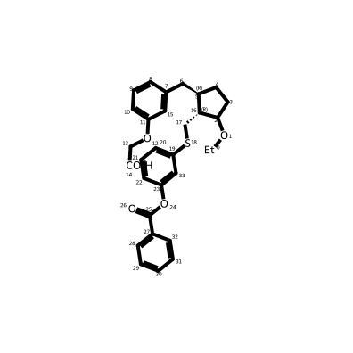 CCOC1CC[C@H](Cc2cccc(OCC(=O)O)c2)[C@H]1CSc1cccc(OC(=O)c2ccccc2)c1